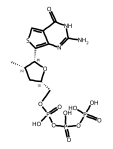 C[C@H]1C[C@@H](COP(=O)(O)OP(=O)(O)OP(=O)(O)O)O[C@H]1c1scc2c(=O)[nH]c(N)nc12